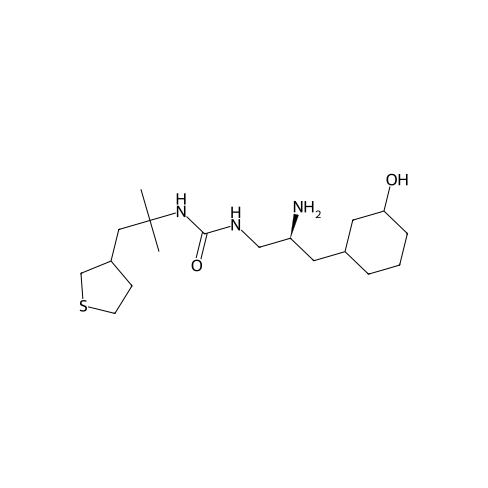 CC(C)(CC1CCSC1)NC(=O)NC[C@@H](N)CC1CCCC(O)C1